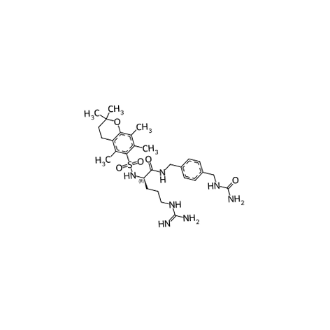 Cc1c(C)c(S(=O)(=O)N[C@H](CCCNC(=N)N)C(=O)NCc2ccc(CNC(N)=O)cc2)c(C)c2c1OC(C)(C)CC2